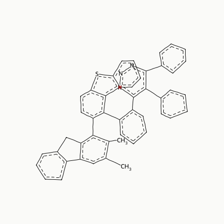 Cc1cc2c(c(-c3ccc4sc5ccccc5c4c3-c3ccccc3-c3nnnc(-c4ccccc4)c3-c3ccccc3)c1C)Cc1ccccc1-2